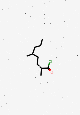 CCCC(C)CCC(C)C(=O)Cl